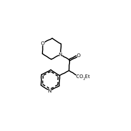 CCOC(=O)C(C(=O)N1CCOCC1)c1cccnc1